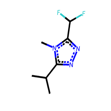 CC(C)c1nnc(C(F)F)n1C